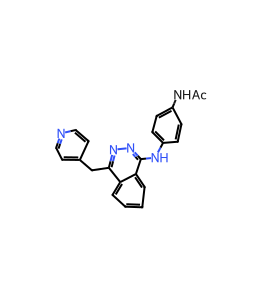 CC(=O)Nc1ccc(Nc2nnc(Cc3ccncc3)c3ccccc23)cc1